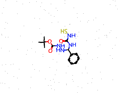 CC(C)(C)OC(=O)NNC(NC(=O)NS)c1ccccc1